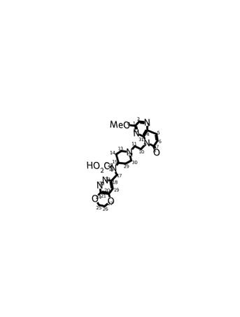 COc1cnc2ccc(=O)n(CCN3CCC(N(Cc4cc5c(nn4)OCCO5)C(=O)O)CC3)c2n1